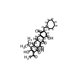 CN(C)[C@@H]1C(O)=C(C(N)=O)C(=O)[C@@]2(O)C(O)=C3C(=O)c4c(O)cc(CN5CCCCCCC5)c(Cl)c4C[C@H]3C[C@@H]12